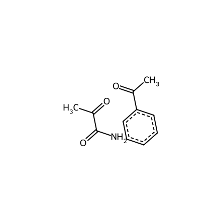 CC(=O)C(N)=O.CC(=O)c1ccccc1